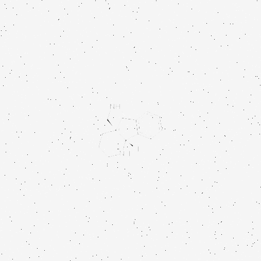 NC[C@]12CCCN[C@H]1c1ccccc1C2